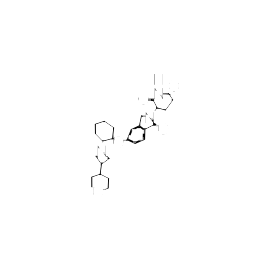 O=C1CCC(N2Cc3cc(O[C@H]4CCCC[C@H]4N4CC(C5CCOCC5)C4)ccc3C2=O)C(=O)N1